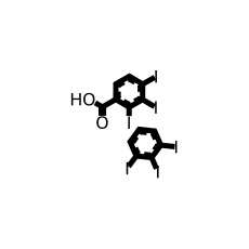 Ic1cccc(I)c1I.O=C(O)c1ccc(I)c(I)c1I